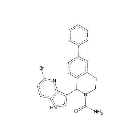 NC(=O)N1CCc2cc(-c3ccccc3)ccc2C1c1c[nH]c2ccc(Br)nc12